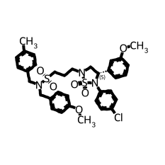 COc1ccc(CN(Cc2ccc(C)cc2)S(=O)(=O)CCCN2C[C@H](c3cccc(OC)c3)N(c3ccc(Cl)cc3)S2(=O)=O)cc1